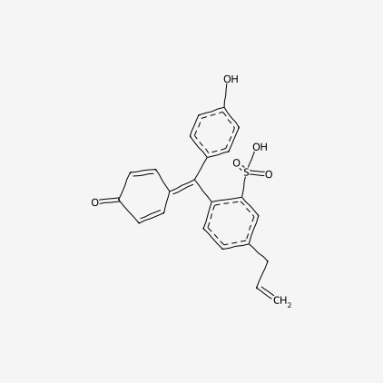 C=CCc1ccc(C(=C2C=CC(=O)C=C2)c2ccc(O)cc2)c(S(=O)(=O)O)c1